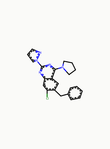 Clc1cc2nc(-n3cccn3)nc(N3CCCC3)c2cc1Cc1ccccc1